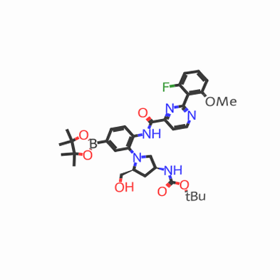 COc1cccc(F)c1-c1nccc(C(=O)Nc2ccc(B3OC(C)(C)C(C)(C)O3)cc2N2C[C@@H](NC(=O)OC(C)(C)C)C[C@H]2CO)n1